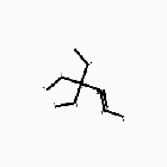 CC=CC(CC)(CC)CC